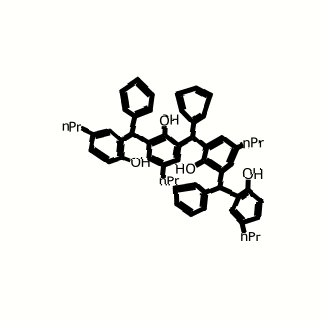 CCCc1ccc(O)c(C(c2ccccc2)c2cc(CCC)cc(C(c3ccccc3)c3cc(CCC)cc(C(c4ccccc4)c4cc(CCC)ccc4O)c3O)c2O)c1